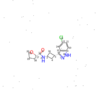 O=C(N[C@H]1C[C@@H](c2n[nH]c3ccc(Cl)cc32)C1)[C@@H]1CCCO1